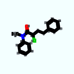 CN(C(=O)C(Cl)CCc1ccccc1)c1ccccc1